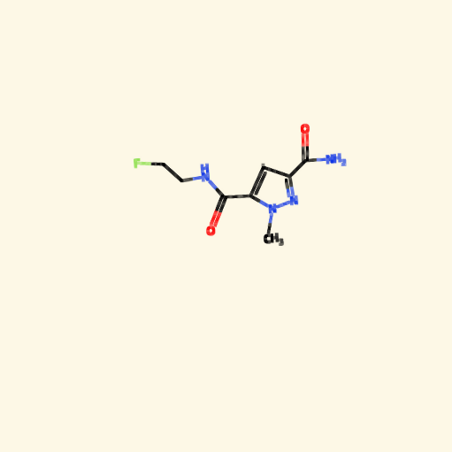 Cn1nc(C(N)=O)[c]c1C(=O)NCCF